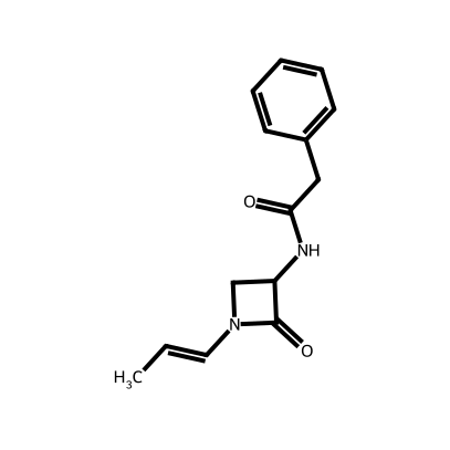 CC=CN1CC(NC(=O)Cc2ccccc2)C1=O